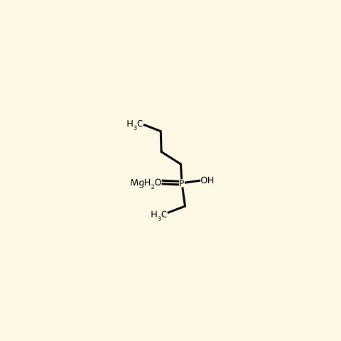 CCCCP(=O)(O)CC.[MgH2]